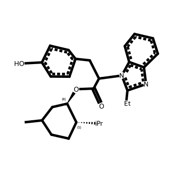 CCc1nc2ccccc2n1C(Cc1ccc(O)cc1)C(=O)O[C@@H]1CC(C)CC[C@H]1C(C)C